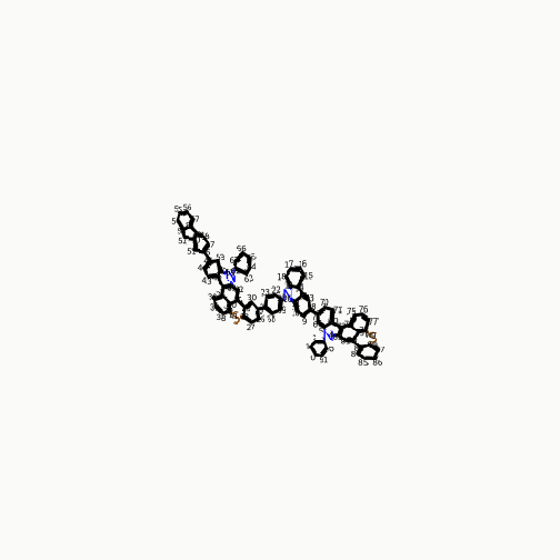 c1ccc(-n2c3cc(-c4ccc5c(c4)c4ccccc4n5-c4ccc(-c5ccc6c(c5)-c5cc7c(c8cccc(c58)S6)c5ccc(-c6ccc8c(c6)Cc6ccccc6-8)cc5n7-c5ccccc5)cc4)ccc3c3c4cccc5c4c(cc32)-c2ccccc2S5)cc1